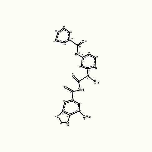 COc1cc(C(=O)NC(=O)N(N)c2cccc(NC(=O)c3ccccc3)c2)cc2c1OCO2